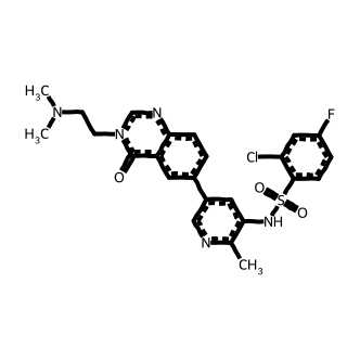 Cc1ncc(-c2ccc3ncn(CCN(C)C)c(=O)c3c2)cc1NS(=O)(=O)c1ccc(F)cc1Cl